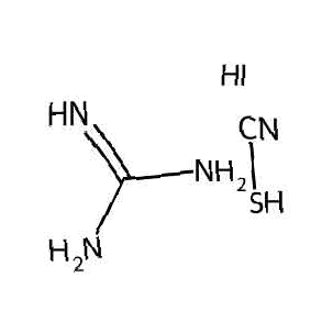 I.N#CS.N=C(N)N